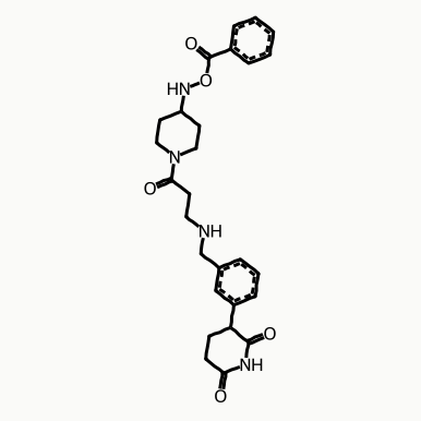 O=C1CCC(c2cccc(CNCCC(=O)N3CCC(NOC(=O)c4ccccc4)CC3)c2)C(=O)N1